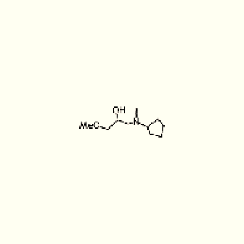 COCC(O)CN(C)C1CCCC1